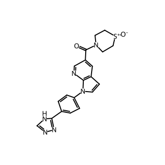 O=C(c1cnc2c(ccn2-c2ccc(-c3nnc[nH]3)cc2)c1)N1CC[S+]([O-])CC1